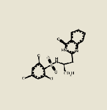 O=C(O)[C@H](Cc1nc2ccccc2c(=O)[nH]1)NS(=O)(=O)c1c(Cl)cc(Cl)cc1Cl